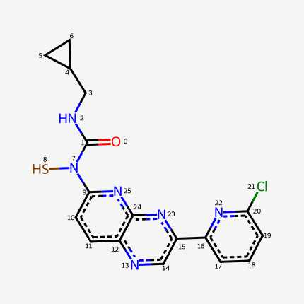 O=C(NCC1CC1)N(S)c1ccc2ncc(-c3cccc(Cl)n3)nc2n1